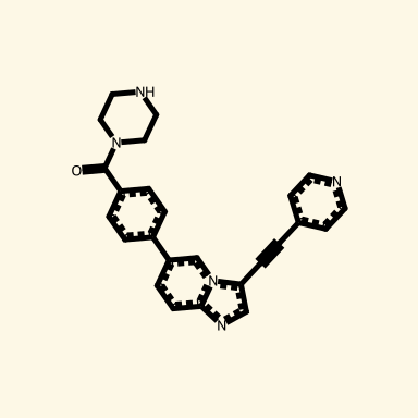 O=C(c1ccc(-c2ccc3ncc(C#Cc4ccncc4)n3c2)cc1)N1CCNCC1